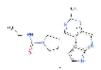 CCNC(=O)N1CCC(c2nc(C)nc3cnc4[nH]ccc4c23)C1